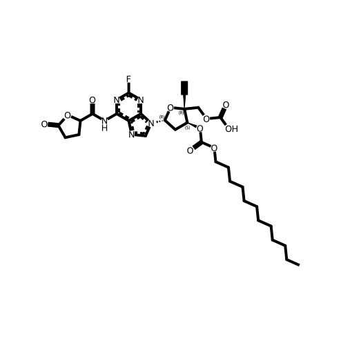 C#C[C@]1(COC(=O)O)O[C@@H](n2cnc3c(NC(=O)C4CCC(=O)O4)nc(F)nc32)C[C@@H]1OC(=O)OCCCCCCCCCCCC